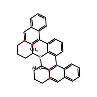 COc1ccc2ccccc2c1-c1cccc(-c2c(C)ccc3ccccc23)c1P(C1CCCCC1)C1CCCCC1